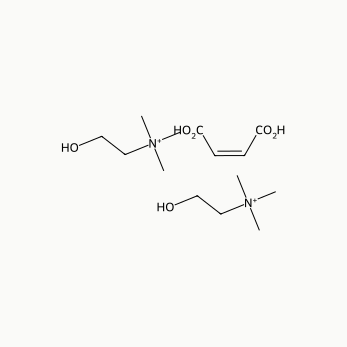 C[N+](C)(C)CCO.C[N+](C)(C)CCO.O=C(O)/C=C\C(=O)O